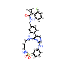 O=C(NCc1ccc(-c2cnc3nc2NCCCNS(=O)(=O)c2cccc(c2)N3)cc1)C1(c2ccccc2F)CC1